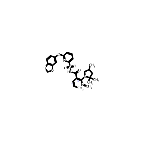 C=N/C(=C(\C=C/C)C(=O)NS(=O)(=O)c1cccc(Oc2ccc3c(c2)OCO3)n1)N1CC(C)CC1(C)C